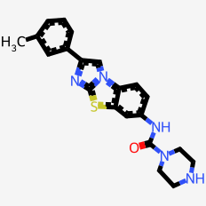 Cc1cccc(-c2cn3c(n2)sc2cc(NC(=O)N4CCNCC4)ccc23)c1